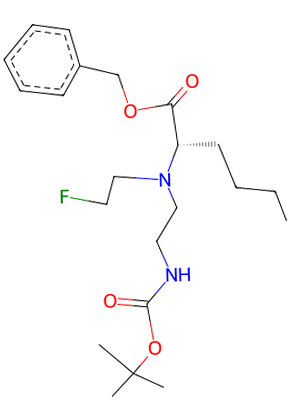 CCCC[C@@H](C(=O)OCc1ccccc1)N(CCF)CCNC(=O)OC(C)(C)C